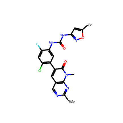 CNc1ncc2cc(-c3cc(NC(=O)Nc4cc(C(C)C)on4)c(F)cc3Cl)c(=O)n(C)c2n1